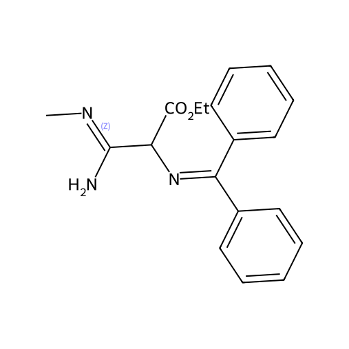 CCOC(=O)C(N=C(c1ccccc1)c1ccccc1)/C(N)=N/C